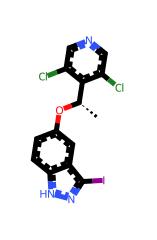 C[C@H](Oc1ccc2[nH]nc(I)c2c1)c1c(Cl)cncc1Cl